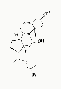 CC(C)[C@@H](C)/C=C/[C@@H](C)[C@H]1CC[C@H]2C3=C(C(O)C[C@]12C)[C@@]1(C)CC[C@H](O)CC1=CC3